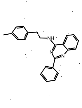 Cc1ccc(CCNc2nc(-c3ccccc3)nc3ccccc23)cc1